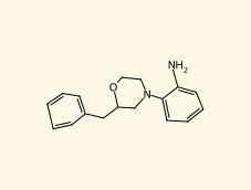 Nc1ccccc1N1CCOC(Cc2ccccc2)C1